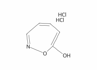 Cl.Cl.OC1=CC=CC=NO1